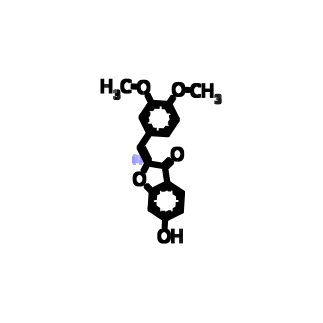 COc1ccc(/C=C2/Oc3cc(O)ccc3C2=O)cc1OC